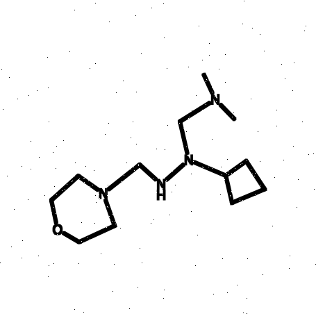 CN(C)CN(NCN1CCOCC1)C1CCC1